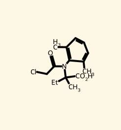 CCC(C)(C(=O)O)N(C(=O)CCl)c1c(C)cccc1C